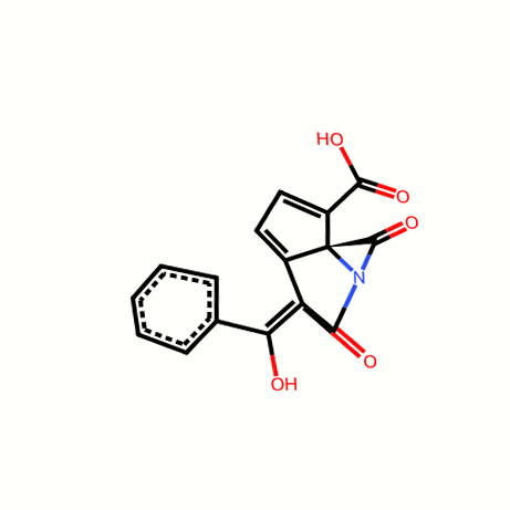 O=C(O)C1=CC=C2/C(=C(/O)c3ccccc3)C(=O)N3C(=O)[C@]123